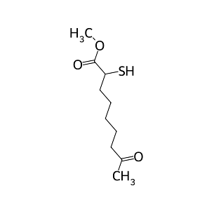 COC(=O)C(S)CCCCCC(C)=O